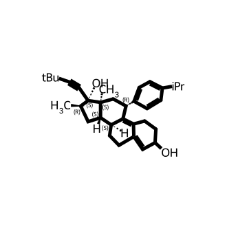 CC(C)c1ccc([C@H]2C[C@@]3(C)[C@@H](C[C@@H](C)[C@@]3(O)C#CC(C)(C)C)[C@@H]3CCC4=CC(O)CCC4=C32)cc1